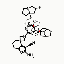 CC(C)(C)OC(=O)N1C2CCC1CN(c1cc(OC[C@@]34CCCN3C[C@H](F)C4)nc(N3CC4(CCCc5sc(N)c(C#N)c54)C3)n1)C2